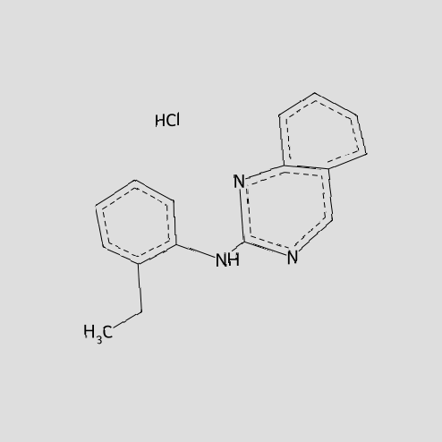 CCc1ccccc1Nc1ncc2ccccc2n1.Cl